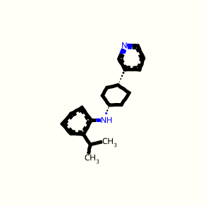 CC(C)c1ccccc1N[C@H]1CC[C@@H](c2cccnc2)CC1